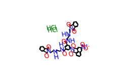 Cl.Cl.O=C(NCCNCCN1C(=O)c2ccccc2C1=O)c1cc(C(=O)NCCNCCN2C(=O)c3ccccc3C2=O)cc(N2C(=O)c3cccc4cc([N+](=O)[O-])cc(c34)C2=O)c1